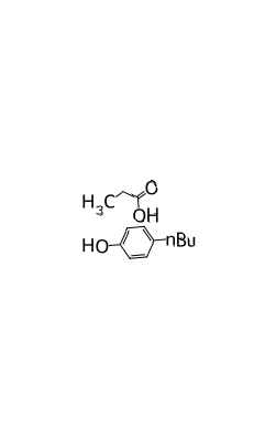 CCC(=O)O.CCCCc1ccc(O)cc1